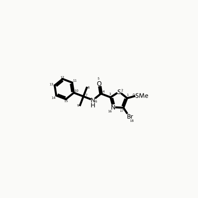 CSc1sc(C(=O)NC(C)(C)c2ccccc2)nc1Br